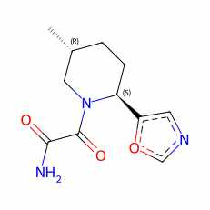 C[C@@H]1CC[C@@H](c2cnco2)N(C(=O)C(N)=O)C1